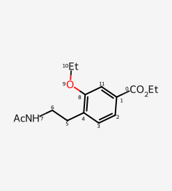 CCOC(=O)c1ccc(CCNC(C)=O)c(OCC)c1